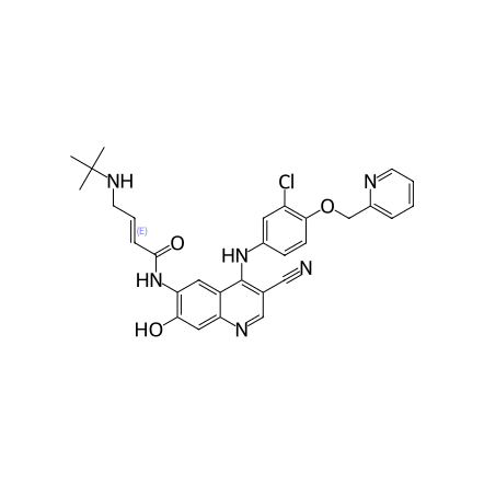 CC(C)(C)NC/C=C/C(=O)Nc1cc2c(Nc3ccc(OCc4ccccn4)c(Cl)c3)c(C#N)cnc2cc1O